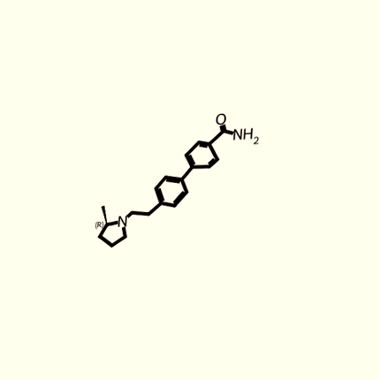 C[C@@H]1CCCN1CCc1ccc(-c2ccc(C(N)=O)cc2)cc1